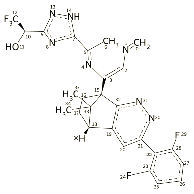 C=N/C=C(\N=C(/C)c1nc([C@@H](O)C(F)(F)F)n[nH]1)[C@@]12CC[C@@H](c3cc(-c4c(F)cccc4F)nnc31)C2(C)C